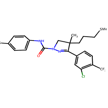 CSCCCC1(C)CN(C(=O)Nc2ccc(SC)cc2)N=C1c1ccc(C(F)(F)F)c(Cl)c1